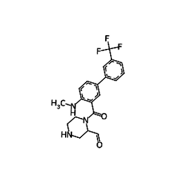 CNc1ccc(-c2cccc(C(F)(F)F)c2)cc1C(=O)N1CCNCC1C=O